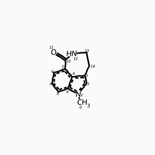 Cn1cc2c3c(cccc31)C(=O)NCC2